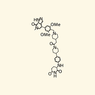 COc1cc(-c2cn(C)c(=O)c3[nH]ncc23)cc(OC)c1CN1CCC(CC(=O)N2CCC(c3ccc(NC4CCC(=O)NC4=O)cc3)CC2)CC1